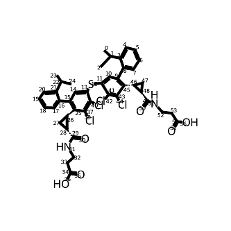 CC(C)c1ccccc1-c1cc(Sc2cc(-c3ccccc3C(C)C)c([C@@H]3C[C@H]3C(=O)NCCC(=O)O)c(Cl)c2Cl)c(Cl)c(Cl)c1[C@@H]1C[C@H]1C(=O)NCCC(=O)O